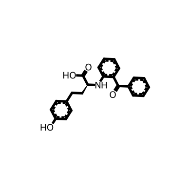 O=C(c1ccccc1)c1ccccc1N[C@@H](CCc1ccc(O)cc1)C(=O)O